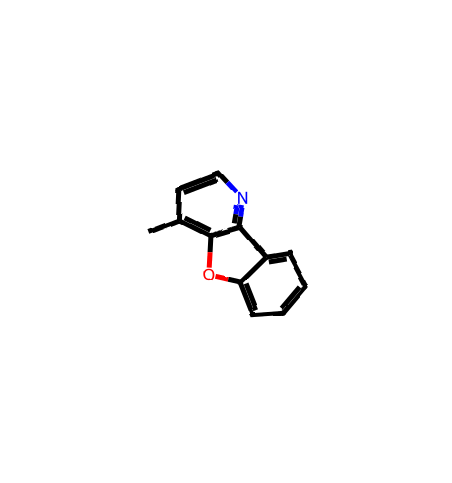 Cc1ccnc2c1oc1ccccc12